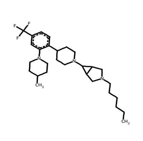 CCCCCCN1CC2C(C1)C2N1CCC(c2ccc(C(F)(F)F)cc2N2CCC(C)CC2)CC1